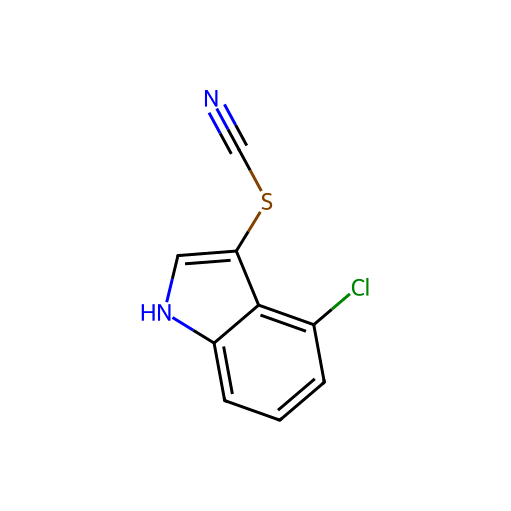 N#CSc1c[nH]c2cccc(Cl)c12